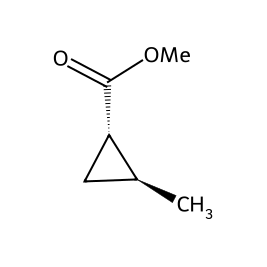 COC(=O)[C@H]1C[C@@H]1C